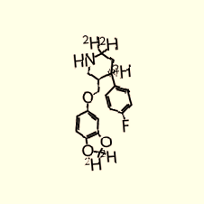 [2H]C1([2H])C[C@@]([2H])(c2ccc(F)cc2)C(COc2ccc3c(c2)OC([2H])([2H])O3)CN1